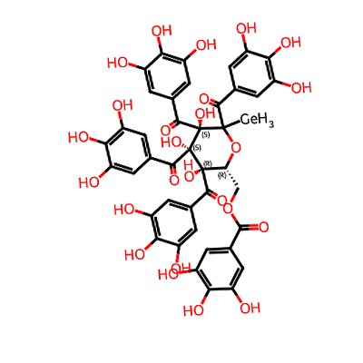 O=C(OC[C@H]1O[C]([GeH3])(C(=O)c2cc(O)c(O)c(O)c2)[C@@](O)(C(=O)c2cc(O)c(O)c(O)c2)[C@](O)(C(=O)c2cc(O)c(O)c(O)c2)[C@@]1(O)C(=O)c1cc(O)c(O)c(O)c1)c1cc(O)c(O)c(O)c1